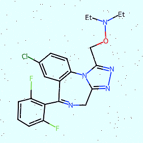 CCN(CC)OCc1nnc2n1-c1ccc(Cl)cc1C(c1c(F)cccc1F)=NC2